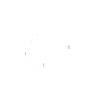 CS(=O)(=O)c1cc(N)ccc1O.O=S(=O)(O)O